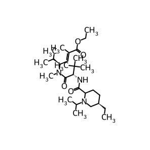 CCOC(=O)/C(C)=C/[C@H](C(C)C)N(C)C(=O)[C@@H](NC(=O)C1CC[C@@H](CC)CN1C(C)C)C(C)(C)C